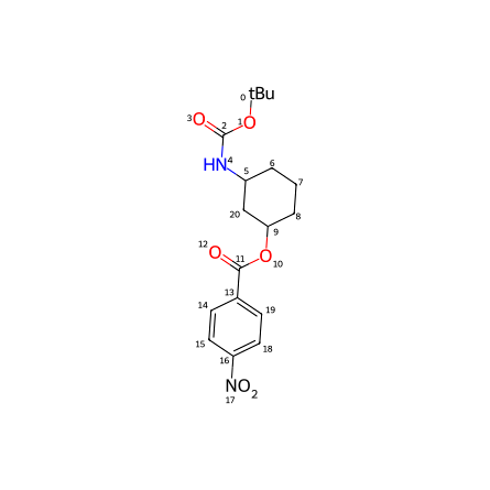 CC(C)(C)OC(=O)NC1CCCC(OC(=O)c2ccc([N+](=O)[O-])cc2)C1